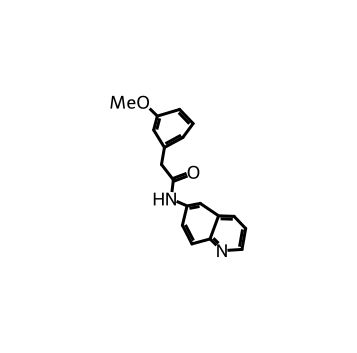 COc1cccc(CC(=O)Nc2ccc3ncccc3c2)c1